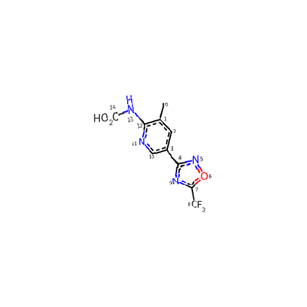 Cc1cc(-c2noc(C(F)(F)F)n2)cnc1NC(=O)O